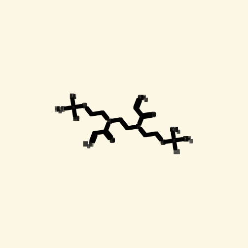 C=CC(=O)N(CCO[Si](C)(C)CC)CCN(CCO[Si](C)(CC)CC)C(=O)C=C